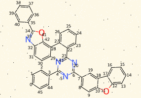 c1ccc(-c2nc(-c3ccc4oc5ccccc5c4c3)nc(-c3ccccc3-c3cccc4nc(-c5ccccc5)oc34)n2)cc1